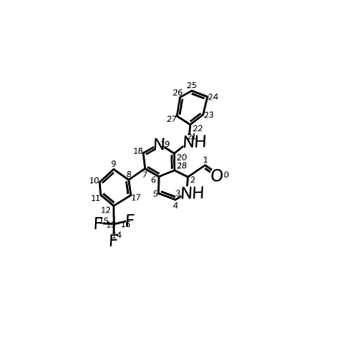 O=CC1NC=Cc2c(-c3cccc(C(F)(F)F)c3)cnc(Nc3ccccc3)c21